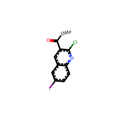 COC(=O)c1cc2cc(I)ccc2nc1Cl